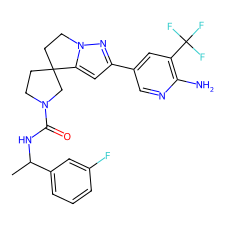 CC(NC(=O)N1CCC2(CCn3nc(-c4cnc(N)c(C(F)(F)F)c4)cc32)C1)c1cccc(F)c1